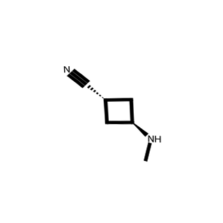 CN[C@H]1C[C@H](C#N)C1